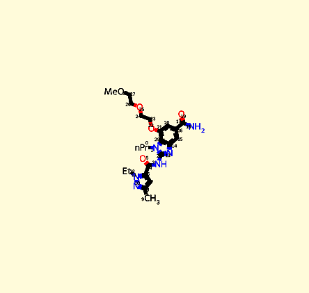 CCCn1c(NC(=O)c2cc(C)nn2CC)nc2cc(C(N)=O)cc(OCCOCCOC)c21